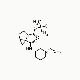 CC[C@@H]1CCC[C@H](NC(=O)C23CC2CCN3C(=O)OC(C)(C)C)C1